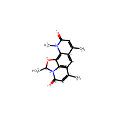 Cc1cc(=O)n(C)c2c3c4c(cc12)c(C)cc(=O)n4C(C(=O)O)O3